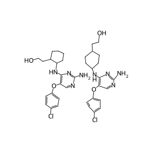 Nc1ncc(Oc2ccc(Cl)cc2)c(NC2CCC(CCO)CC2)n1.Nc1ncc(Oc2ccc(Cl)cc2)c(NC2CCCCC2CCO)n1